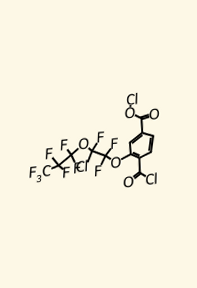 O=C(OCl)c1ccc(C(=O)Cl)c(OC(F)(F)C(F)(Cl)OC(F)(F)C(F)(F)C(F)(F)F)c1